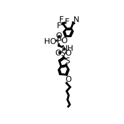 CCCCCCCOc1ccc2cc(S(=O)(=O)NCP(=O)(O)Oc3ccc(C#N)c(C(F)(F)F)c3)sc2c1